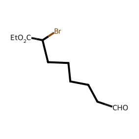 CCOC(=O)C(Br)CCCCCC=O